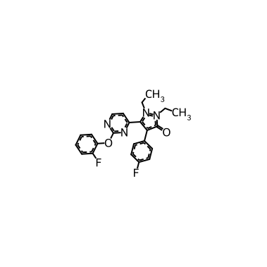 CCn1c(-c2ccnc(Oc3ccccc3F)n2)c(-c2ccc(F)cc2)c(=O)n1CC